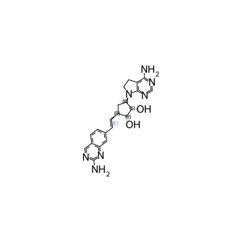 Nc1ncc2ccc(/C=C/[C@H]3C[C@@H](N4CCc5c(N)ncnc54)[C@H](O)[C@@H]3O)cc2n1